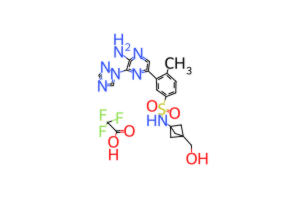 Cc1ccc(S(=O)(=O)NC23CC(CO)(C2)C3)cc1-c1cnc(N)c(-n2cncn2)n1.O=C(O)C(F)(F)F